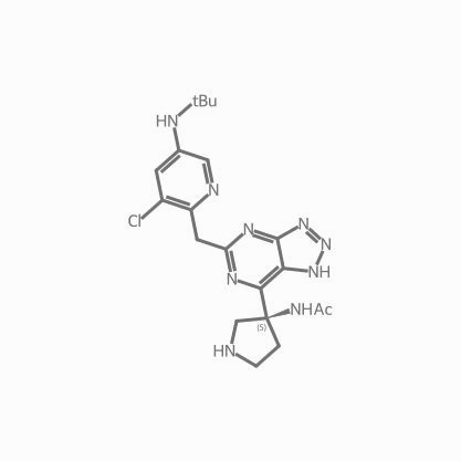 CC(=O)N[C@@]1(c2nc(Cc3ncc(NC(C)(C)C)cc3Cl)nc3nn[nH]c23)CCNC1